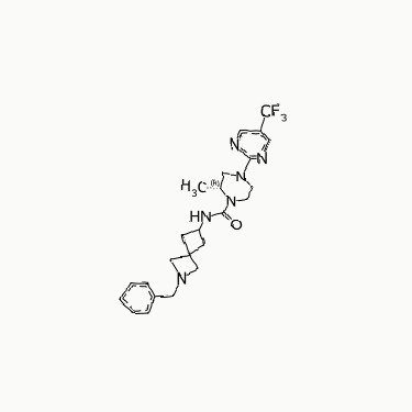 C[C@@H]1CN(c2ncc(C(F)(F)F)cn2)CCN1C(=O)NC1CC2(C1)CN(Cc1ccccc1)C2